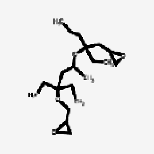 CCCC(CC)(CC1CO1)OC(C)CC(CC)(CC)OCC1CO1